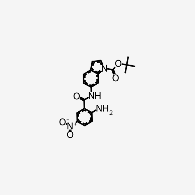 CC(C)(C)OC(=O)n1ccc2ccc(NC(=O)c3cc([N+](=O)[O-])ccc3N)cc21